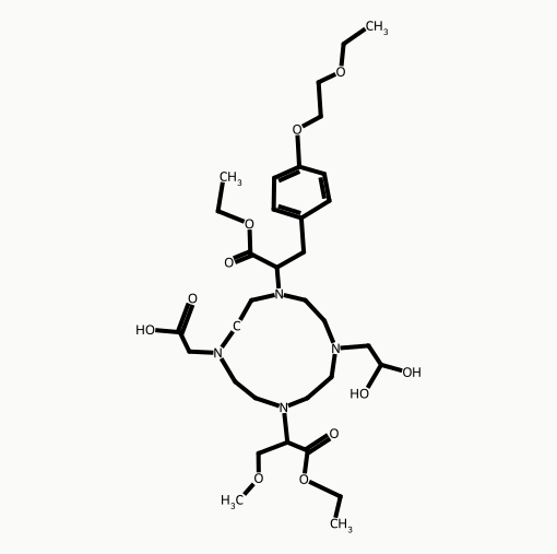 CCOCCOc1ccc(CC(C(=O)OCC)N2CCN(CC(=O)O)CCN(C(COC)C(=O)OCC)CCN(CC(O)O)CC2)cc1